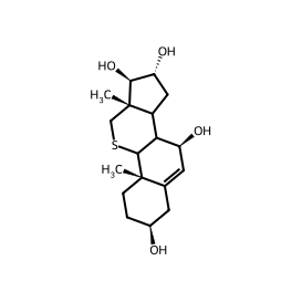 C[C@]12CC[C@H](O)CC1=C[C@H](O)C1C2SC[C@@]2(C)C1C[C@@H](O)[C@@H]2O